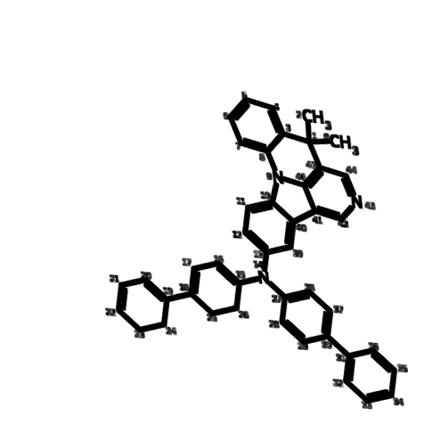 CC1(C)c2ccccc2-n2c3ccc(N(C4=CC=C(C5=CC=CCC5)CC4)c4ccc(-c5ccccc5)cc4)cc3c3cncc1c32